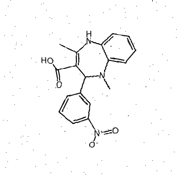 CC1=C(C(=O)O)C(c2cccc([N+](=O)[O-])c2)N(C)c2ccccc2N1